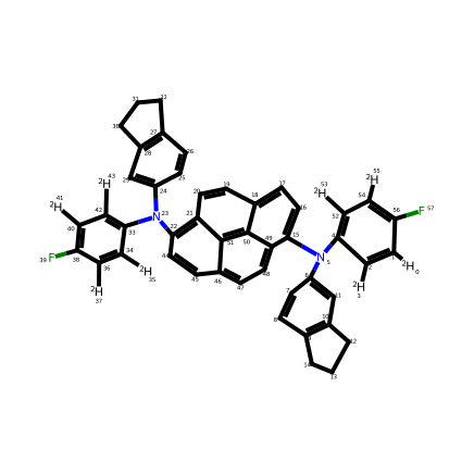 [2H]c1c([2H])c(N(c2ccc3c(c2)CCC3)c2ccc3ccc4c(N(c5ccc6c(c5)CCC6)c5c([2H])c([2H])c(F)c([2H])c5[2H])ccc5ccc2c3c54)c([2H])c([2H])c1F